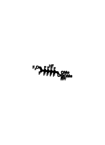 CCC[Si](OC)(OC)OCC(F)(F)C(F)(F)C(F)(F)C(F)(F)C(F)CC(F)(F)F.F